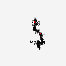 COc1ncc(-c2ccc3nccc(-c4ccc(COC(=O)NC(C)CCNC(=O)CCc5cccc6c5CN(C(=O)C[C@@H]5C[C@@H](C(=O)N7CC(F)(F)C[C@H]7C#N)NC5=O)C6)nc4)c3c2)cc1NS(=O)(=O)c1ccc(F)cc1F